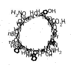 CCCC[C@H]1C(=O)N(C)[C@@H](CCCC)C(=O)N[C@@H](C)C(=O)N[C@H](C(=O)NCC(N)=O)CCCNCC(=O)N[C@@H](Cc2ccc(O)cc2)C(=O)N(C)[C@@H](C)C(=O)N[C@@H](CC(=O)O)C(=O)N2CCC[C@H]2C(=O)N[C@@H](Cc2cnc[nH]2)C(=O)N[C@@H](CCC(N)=O)C(=O)N2C[C@H](O)C[C@H]2C(=O)N[C@@H](Cc2c[nH]c3ccccc23)C(=O)N[C@@H](CO)C(=O)N[C@@H](Cc2c[nH]c3ccccc23)C(=O)N1C